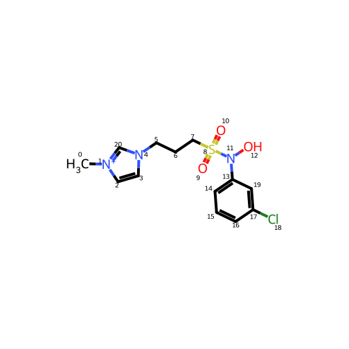 C[n+]1ccn(CCCS(=O)(=O)N(O)c2cccc(Cl)c2)c1